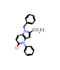 CCOC(=O)c1cc2c(ccc(=O)n2-c2ccccc2)n1Cc1ccccc1